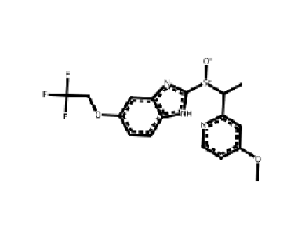 COc1ccnc(C(C)[S+]([O-])c2nc3cc(OCC(F)(F)F)ccc3[nH]2)c1